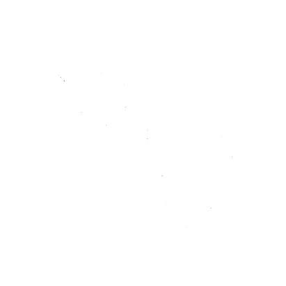 CN(C)c1ccc(/C=C/c2cc(C(C)(C)C)[s+]c(C(C)(C)C)c2)cc1